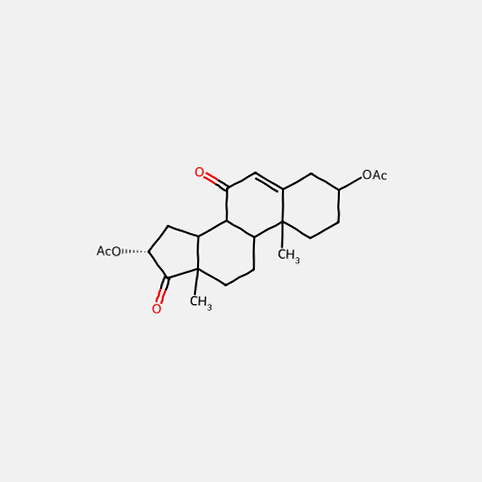 CC(=O)OC1CCC2(C)C(=CC(=O)C3C4C[C@@H](OC(C)=O)C(=O)C4(C)CCC32)C1